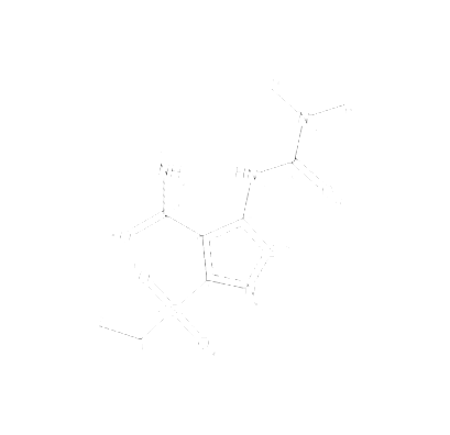 CCS(=O)(=O)c1nsc(NC(=O)N(C)C)c1C(N)=O